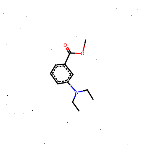 CCN(CC)c1cccc(C(=O)OC)c1